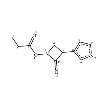 CCC(=O)ON1CC(c2ccsc2)C1=O